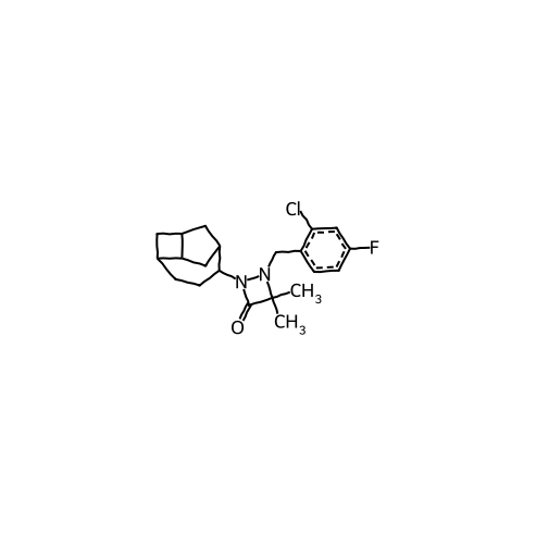 CC1(C)C(=O)N(C2CCC3CC4CC2CC34)N1Cc1ccc(F)cc1Cl